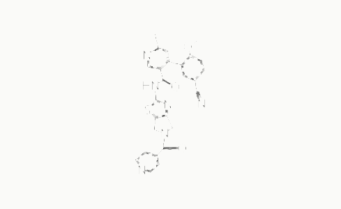 COc1ccc(C#N)cc1-c1cc(C)ncc1C(=O)Nc1nc2c(s1)CN(C(=O)c1ccncc1)C2